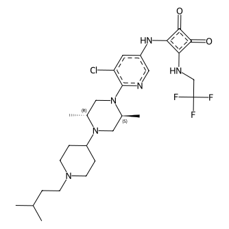 CC(C)CCN1CCC(N2C[C@H](C)N(c3ncc(Nc4c(NCC(F)(F)F)c(=O)c4=O)cc3Cl)C[C@H]2C)CC1